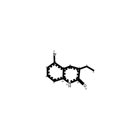 CCc1cc2c(Br)cccc2[nH]c1=O